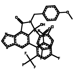 COc1ccc(CN2C(=O)c3c(c(-c4c(C(N)=O)cc(F)cc4C(F)(F)F)cc4scnc34)C2(O)c2cc(F)ccc2Cl)cc1